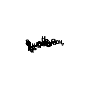 COC(=O)c1cccc(S(=O)(=O)Nc2ccc(-c3nc4c(N5CCOCC5)ncnc4s3)nc2)c1